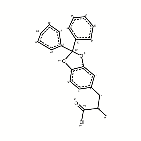 CC(Cc1ccc2c(c1)OC(c1ccccc1)(c1ccccc1)O2)C(=O)O